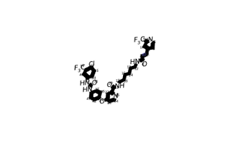 O=C(/C=C/c1ccnc(C(F)(F)F)c1)NCCCCCCNC(=O)c1cc(Oc2ccc(NC(=O)Nc3ccc(Cl)c(C(F)(F)F)c3)cc2)ccn1